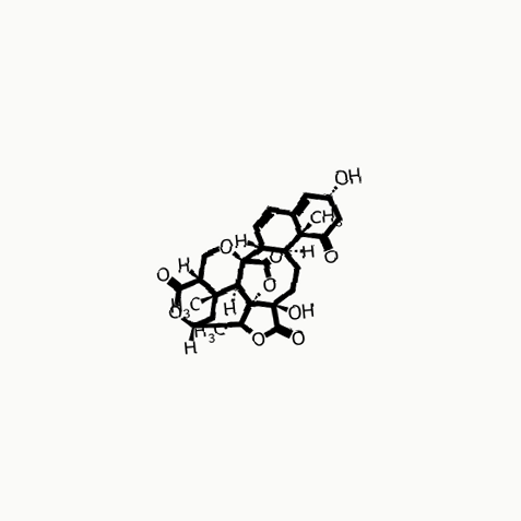 C[C@]12C(=O)C[C@@H](O)C=C1C=C[C@@H]1[C@@H]2CC[C@]2(O)C(=O)O[C@@]3(C)[C@H]4C[C@]5(C)[C@@H](CO[C@]16C(=O)O[C@@]32[C@@H]56)C(=O)O4